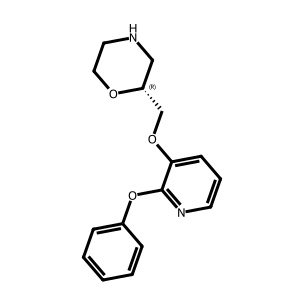 c1ccc(Oc2ncccc2OC[C@H]2CNCCO2)cc1